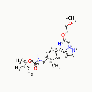 COCCOc1cn2nccc2c(-c2ccc(CNC(=O)OC(C)(C)C)c(C)c2)n1